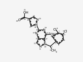 CC(c1ccc(Cl)c(Cl)c1)n1ncc2nc(-n3cc(C(=O)O)cn3)nc(O)c21